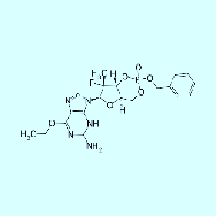 CCOC1=NC(N)Nc2c1ncn2[C@@H]1O[C@@H]2CO[P@](=O)(OCc3ccccc3)O[C@H]2[C@@]1(C)F